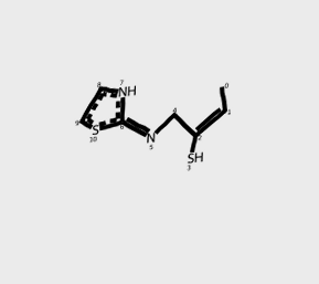 C/C=C(/S)C/N=c1\[nH]ccs1